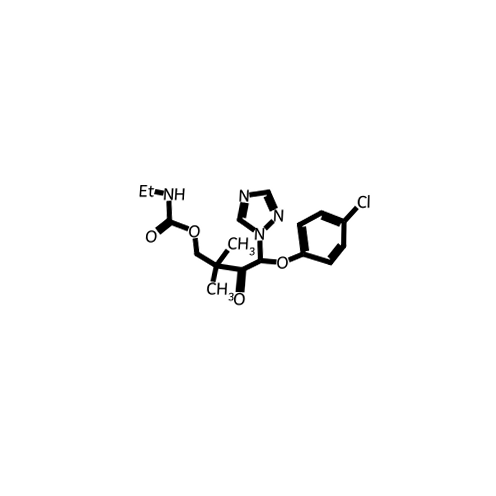 CCNC(=O)OCC(C)(C)C(=O)C(Oc1ccc(Cl)cc1)n1cncn1